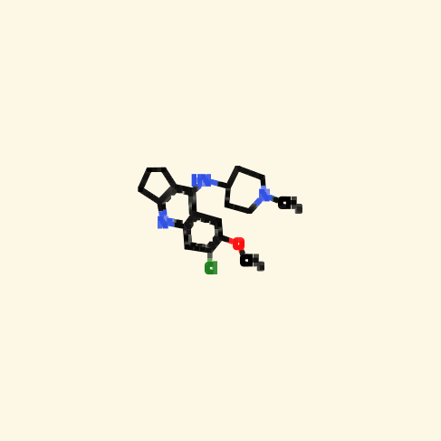 COc1cc2c(NC3CCN(C)CC3)c3c(nc2cc1Cl)CCC3